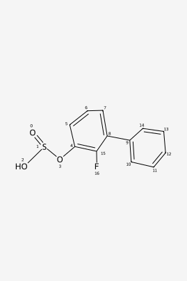 O=S(O)Oc1cccc(-c2ccccc2)c1F